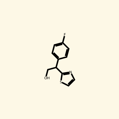 OCC(c1ccc(F)cc1)c1nccs1